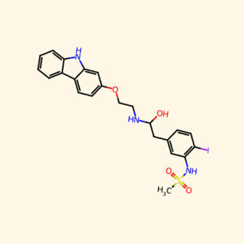 CS(=O)(=O)Nc1cc(CC(O)NCCOc2ccc3c(c2)[nH]c2ccccc23)ccc1I